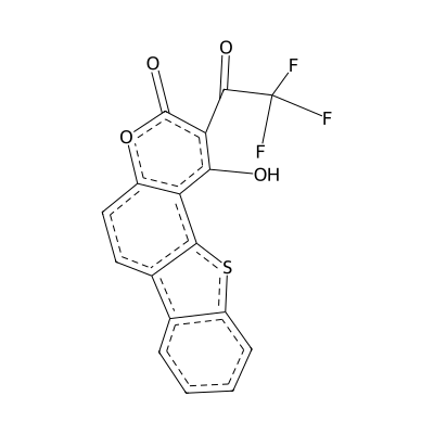 O=C(c1c(O)c2c(ccc3c4ccccc4sc32)oc1=O)C(F)(F)F